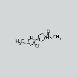 C=Cc1cnc(N2CC=C(C(=O)NC)CC2)c(Cl)c1